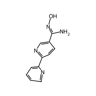 N/C(=N\O)c1ccc(-c2ccccn2)nc1